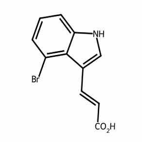 O=C(O)C=Cc1c[nH]c2cccc(Br)c12